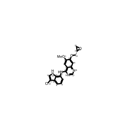 COc1cc2c(Nc3cccc4c(Cl)c[nH]c34)ncnc2cc1OC[C@@H]1CO1